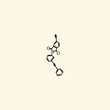 C#Cc1ccc2c(c1)C(=O)N(c1cccc(C#Cc3ccccc3)c1)C2=O